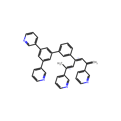 C=C(/C=C(\C=C(/C)c1cccnc1)c1cccc(-c2cc(-c3cccnc3)cc(-c3cccnc3)c2)c1)c1cccnc1